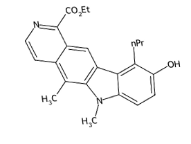 CCCc1c(O)ccc2c1c1cc3c(C(=O)OCC)nccc3c(C)c1n2C